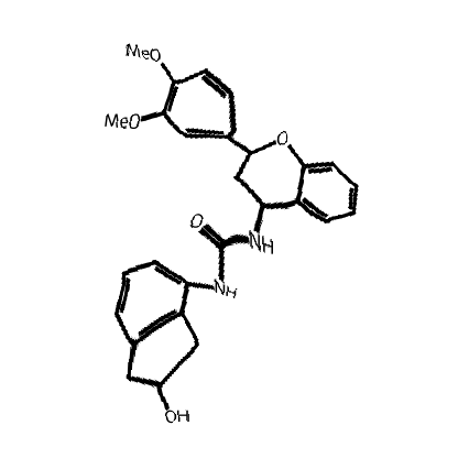 COc1ccc(C2CC(NC(=O)Nc3cccc4c3CC(O)C4)c3ccccc3O2)cc1OC